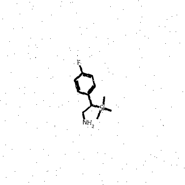 C[Si](C)(C)C(CN)c1ccc(F)cc1